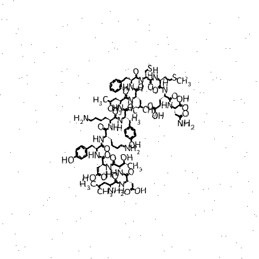 CSCC[C@H](NC(=O)[C@H](CS)NC(=O)[C@H](Cc1ccccc1)NC(=O)[C@H](CC(C)C)NC(=O)[C@H](CC(C)C)NC(=O)[C@H](Cc1ccc(O)cc1)NC(=O)[C@H](CCCCN)NC(=O)[C@H](CCCCN)NC(=O)[C@H](Cc1ccc(O)cc1)NC(=O)[C@H](CC(=O)O)NC(=O)[C@@H](NC(=O)[C@H](CC(=O)O)NC(=O)[C@@H](N)CC(C)C)[C@@H](C)O)C(=O)N[C@@H](CCC(=O)O)C(=O)N[C@@H](CC(N)=O)C(=O)O